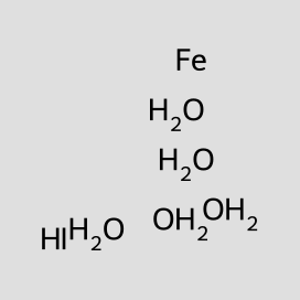 I.O.O.O.O.O.[Fe]